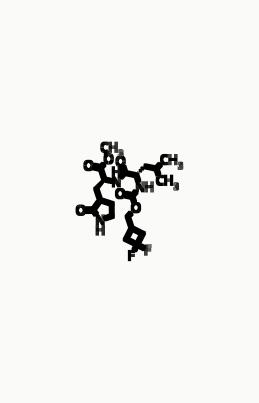 COC(=O)[C@H](CC1CCNC1=O)NC(=O)[C@H](CC(C)C)NC(=O)OCC1CC(F)(F)C1